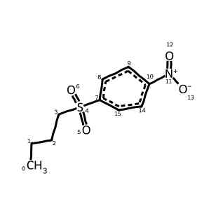 CCCCS(=O)(=O)c1ccc([N+](=O)[O-])cc1